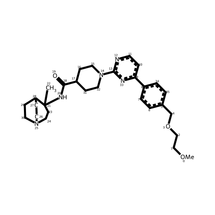 COCCOCc1ccc(-c2ccnc(N3CCC(C(=O)NC4(C)CCN5CCC4CC5)CC3)n2)cc1